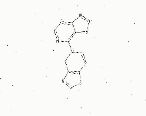 [c]1nc2ccnc(N3C=Cc4scnc4C3)c2s1